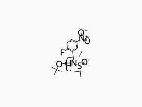 CC[C@@](CC(=O)OC(C)(C)C)(N[S@+]([O-])C(C)(C)C)c1cc([N+](=O)[O-])ccc1F